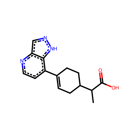 CC(C(=O)O)C1CC=C(c2ccnc3cn[nH]c23)CC1